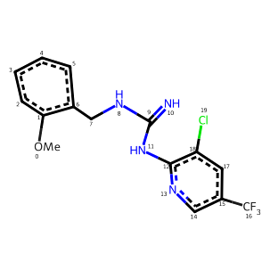 COc1ccccc1CNC(=N)Nc1ncc(C(F)(F)F)cc1Cl